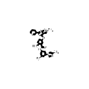 Cc1cn(-c2cc(NC(=O)c3cc(Oc4nc(-c5cccnc5)nc5nn(C)cc45)ccc3C)cc(C(F)(F)F)c2)cn1